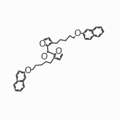 O=C(c1occc1CCCCCOc1ccc2ccccc2c1)c1occc1CCCCCOc1ccc2ccccc2c1